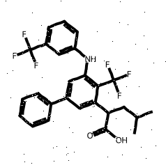 CC(C)CC(C(=O)O)c1cc(-c2ccccc2)cc(Nc2cccc(C(F)(F)F)c2)c1C(F)(F)F